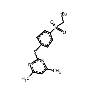 Cc1cc(C)nc(Sc2ccc(S(=O)(=O)CC(C)(C)C)cc2)n1